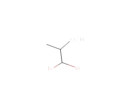 CC(C(=O)O)C(Br)Br